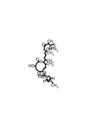 CCC(O)C(C)C1OC1CC(C)(O)/C=C/C=C(\C)C1OC(=O)CC(O)CCC(C)(OC)C(OC(=O)N2C[C@H]3C[C@@H]2CN3CC)/C=C/C1C